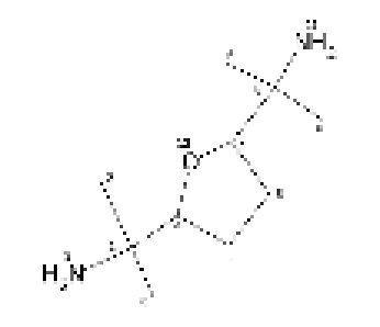 CC(C)(N)C1CCC(C(C)(C)N)O1